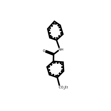 CCOC(=O)c1ccc(C(=O)Nc2ccccc2)cc1